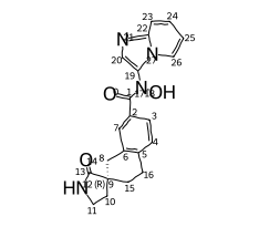 O=C(c1ccc2c(c1)C[C@@]1(CCNC1=O)CC2)N(O)c1cnc2ccccn12